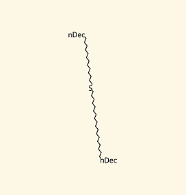 CCCCCCCCCCCCCCCCCCCCCCCCCCCCSCCCCCCCCCCCCCCCCCCCCCCC